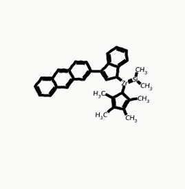 CC1=C(C)[CH]([Zr]([CH]2C=C(c3ccc4cc5ccccc5cc4c3)c3ccccc32)=[Si](C)C)C(C)=C1C